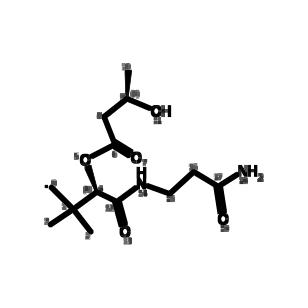 [CH2]C(C)(C)[C@@H](OC(=O)C[C@@H](C)O)C(=O)NCCC(N)=O